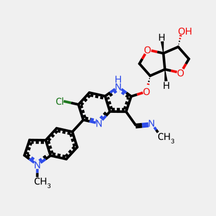 C/N=C/c1c(O[C@@H]2CO[C@H]3[C@@H]2OC[C@H]3O)[nH]c2cc(Cl)c(-c3ccc4c(ccn4C)c3)nc12